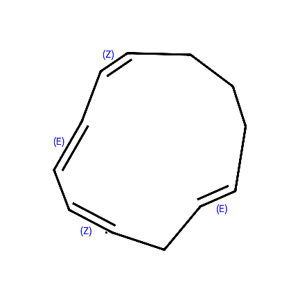 [C]1=C/C=C/C=C\CCC/C=C/C\1